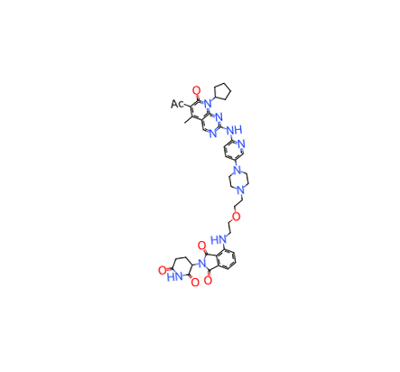 CC(=O)c1c(C)c2cnc(Nc3ccc(N4CCN(CCOCCNc5cccc6c5C(=O)N(C5CCC(=O)NC5=O)C6=O)CC4)cn3)nc2n(C2CCCC2)c1=O